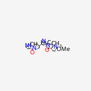 COc1ccc2c(n1)C(C)(C)N(c1cncc(C3CCN(C(=O)c4ccnn4C)CC3)c1)C2=O